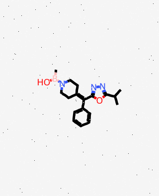 CB(O)N1CCC(=C(c2ccccc2)c2nnc(C(C)C)o2)CC1